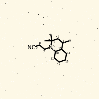 CC1CC(C)(C)N(CCC#N)C2CCCCC12